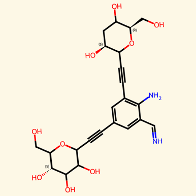 N=Cc1cc(C#CC2OC(CO)[C@@H](O)C(O)C2O)cc(C#CC2O[C@H](CO)C(O)C[C@@H]2O)c1N